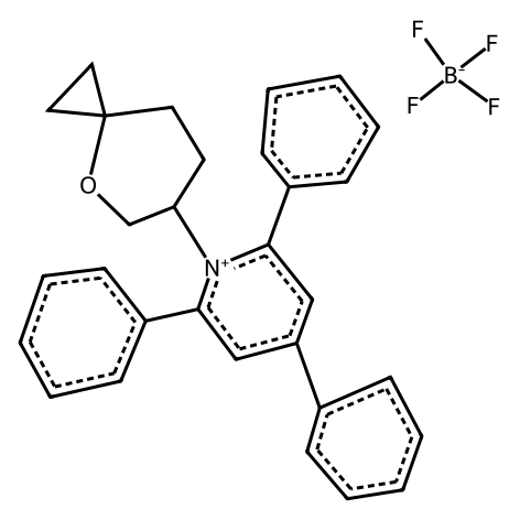 F[B-](F)(F)F.c1ccc(-c2cc(-c3ccccc3)[n+](C3CCC4(CC4)OC3)c(-c3ccccc3)c2)cc1